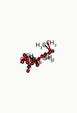 CCCCCCCC1(CCCCCCC)c2ccccc2-c2ccc(-c3ccc4c(c3)C(C)(C)c3cc(-c5ccc(-c6cc7c(c8c6oc6ccccc68)-c6ccc(N(c8ccc(-c9ccccc9)cc8)c8ccc9c(c8)C(C)(C)c8c%10c(c%11oc%12ccccc%12c%11c8-9)-c8ccccc8C%10(C)C)cc6C7(C)C)cc5)ccc3-4)cc21